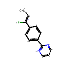 O=C/C=C(\F)c1ccc(-c2ncccn2)cc1